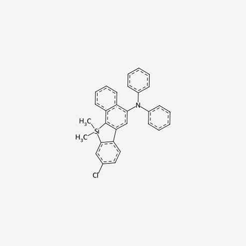 C[Si]1(C)c2cc(Cl)ccc2-c2cc(N(c3ccccc3)c3ccccc3)c3ccccc3c21